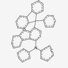 c1ccc(N(c2ccccc2)c2ccc(C3(c4ccccc4)c4ccccc4-c4ccccc43)c3oc4ccccc4c23)cc1